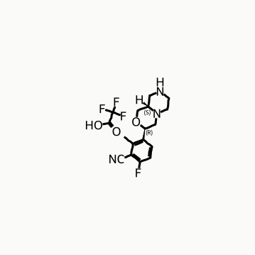 Cc1c([C@@H]2CN3CCNC[C@H]3CO2)ccc(F)c1C#N.O=C(O)C(F)(F)F